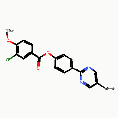 CCCCCCCCCOc1ccc(C(=O)Oc2ccc(-c3ncc(CCCCC)cn3)cc2)cc1Cl